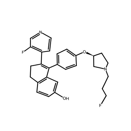 Oc1ccc2c(c1)C(c1ccc(O[C@H]3CCN(CCCF)C3)cc1)=C(c1ccncc1F)CC2